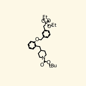 CCOP(=O)(Cc1cccc(COc2ccccc2CC2CCN(C(=O)OC(C)(C)C)CC2)c1)OCC